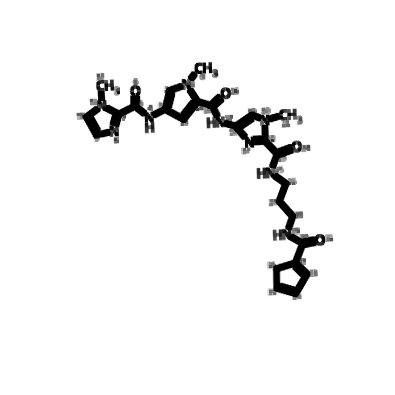 Cn1cc(NC(=O)c2nccn2C)cc1C(=O)Nc1cn(C)c(C(=O)NCCCNC(=O)C2=CC=CC2)n1